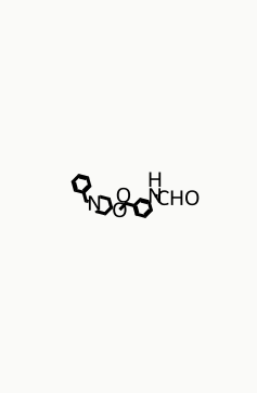 O=CNc1cccc(C(=O)OC2CCN(Cc3ccccc3)CC2)c1